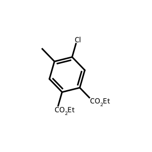 CCOC(=O)c1cc(C)c(Cl)cc1C(=O)OCC